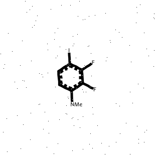 CNc1ccc(I)c(F)c1F